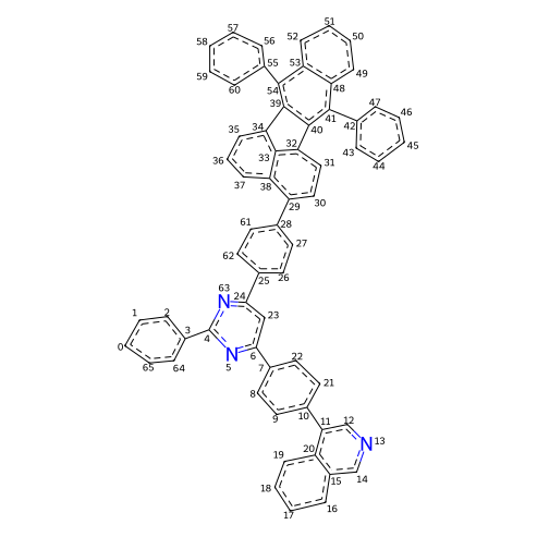 c1ccc(-c2nc(-c3ccc(-c4cncc5ccccc45)cc3)cc(-c3ccc(-c4ccc5c6c(cccc46)-c4c-5c(-c5ccccc5)c5ccccc5c4-c4ccccc4)cc3)n2)cc1